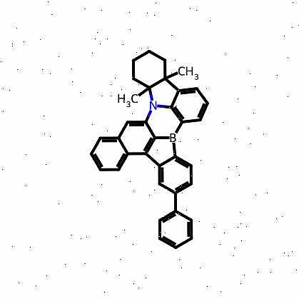 CC12CCCCC1(C)N1c3cc4ccccc4c4c3B(c3ccc(-c5ccccc5)cc3-4)c3cccc2c31